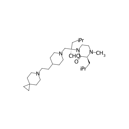 CC(C)C[C@H]1C(=O)N([C@](C=O)(CC(C)C)CN2CCC(CCN3CCC4(CC3)CC4)CC2)CCN1C